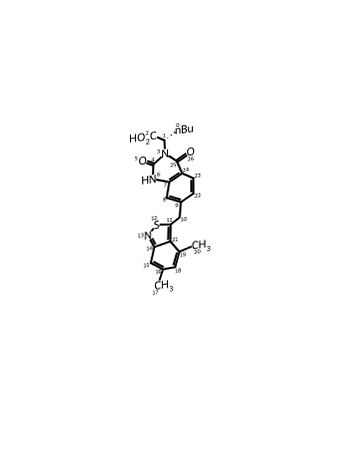 CCCC[C@@H](C(=O)O)n1c(=O)[nH]c2cc(Cc3snc4cc(C)cc(C)c34)ccc2c1=O